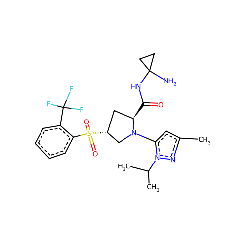 Cc1cc(N2C[C@H](S(=O)(=O)c3ccccc3C(F)(F)F)C[C@H]2C(=O)NC2(N)CC2)n(C(C)C)n1